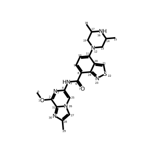 COc1nc(NC(=O)c2ccc(N3CC(C)NC(C)C3)c3csnc23)cn2cc(C)nc12